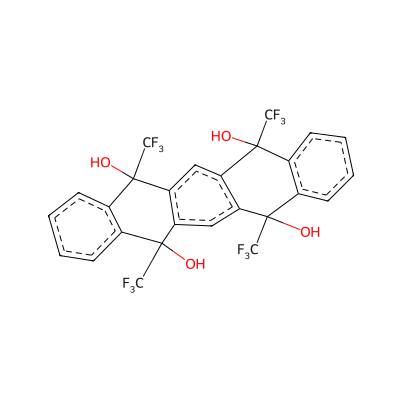 OC1(C(F)(F)F)c2ccccc2C(O)(C(F)(F)F)c2cc3c(cc21)C(O)(C(F)(F)F)c1ccccc1C3(O)C(F)(F)F